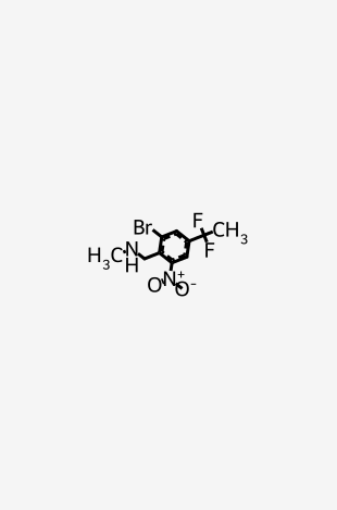 CNCc1c(Br)cc(C(C)(F)F)cc1[N+](=O)[O-]